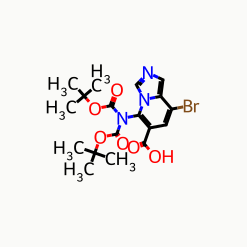 CC(C)(C)OC(=O)N(C(=O)OC(C)(C)C)c1c(C(=O)O)cc(Br)c2cncn12